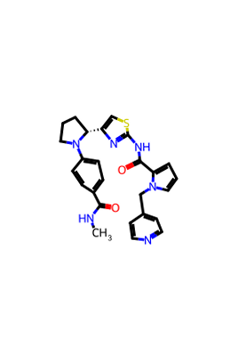 CNC(=O)c1ccc(N2CCC[C@@H]2c2csc(NC(=O)c3cccn3Cc3ccncc3)n2)cc1